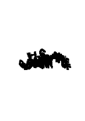 COCC1CCN(CC2=NSC(Nc3nc(C)cn4c(-c5cnn(Cc6nc7c(F)c(F)ccc7[nH]6)c5)cnc34)C2)CC1